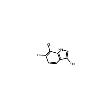 Oc1c[nH]c2c(Cl)c(Cl)ccc12